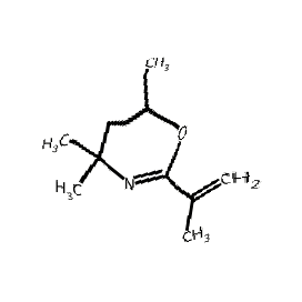 C=C(C)C1=NC(C)(C)CC(C)O1